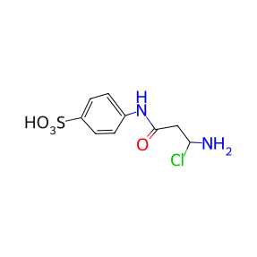 NC(Cl)CC(=O)Nc1ccc(S(=O)(=O)O)cc1